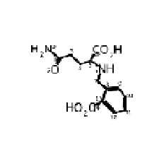 NC(=O)CCC(NCc1ccccc1C(=O)O)C(=O)O